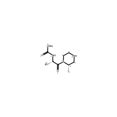 COC(=O)N[C@H](C(=O)N1CCNC[C@@H]1C)C(C)C